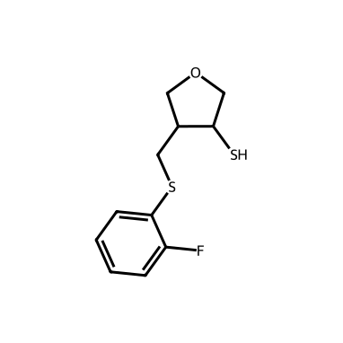 Fc1ccccc1SCC1COCC1S